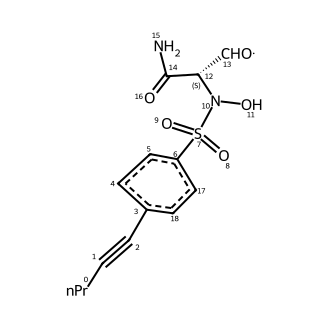 CCCC#Cc1ccc(S(=O)(=O)N(O)[C@@H]([C]=O)C(N)=O)cc1